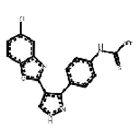 CCCC(=S)Nc1ccc(-c2n[nH]cc2-c2nc3cc(Cl)ccc3o2)cc1